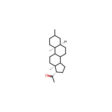 CC(=O)[C@H]1CCC2C3CC[C@@H]4CC(C)CC[C@]4(C)C3CC[C@@]21C